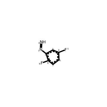 N=Nc1cc(F)ccc1F